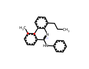 CCCc1cccc(CCC)c1/N=C(/Nc1ccccc1)c1ccccc1